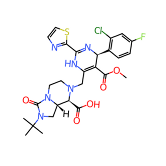 COC(=O)C1=C(CN2CCN3C(=O)N(C(C)(C)C)C[C@H]3[C@@H]2C(=O)O)NC(c2nccs2)=N[C@H]1c1ccc(F)cc1Cl